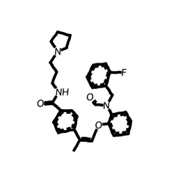 C/C(=C/Oc1ccccc1N(C=O)Cc1ccccc1F)c1ccc(C(=O)NCCCN2CCCC2)cc1